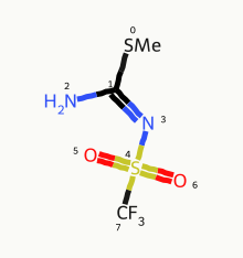 CSC(N)=NS(=O)(=O)C(F)(F)F